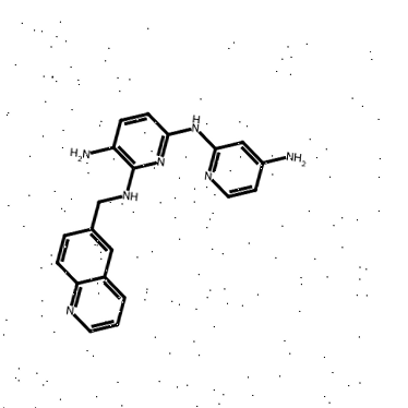 Nc1ccnc(Nc2ccc(N)c(NCc3ccc4ncccc4c3)n2)c1